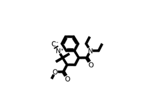 [C-]#[N+]C(C)(C)C(CC(C(=O)N(CC)CC)c1ccccc1)C(=O)OC